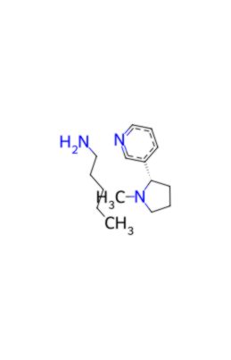 CCCCCN.CN1CCC[C@H]1c1cccnc1